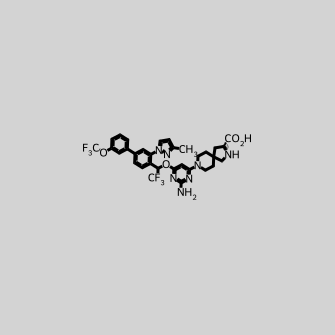 Cc1ccn(-c2cc(-c3cccc(OC(F)(F)F)c3)ccc2C(Oc2cc(N3CCC4(CC3)CN[C@H](C(=O)O)C4)nc(N)n2)C(F)(F)F)n1